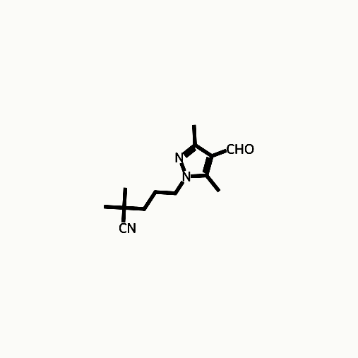 Cc1nn(CCCC(C)(C)C#N)c(C)c1C=O